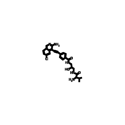 CC(C)C(N)C(=O)NCC(O)CNC(=O)c1ccc(C#Cc2c(N)ncc3ccc(Cl)cc23)cc1